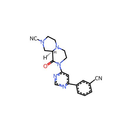 N#Cc1cccc(-c2cc(N3CCN4CCN(C#N)C[C@@H]4C3=O)ncn2)c1